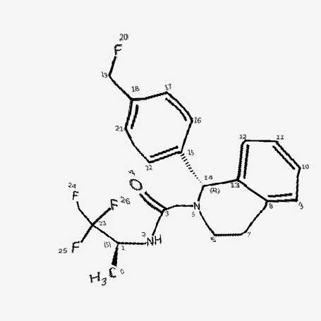 C[C@H](NC(=O)N1CCc2ccccc2[C@H]1c1ccc(CF)cc1)C(F)(F)F